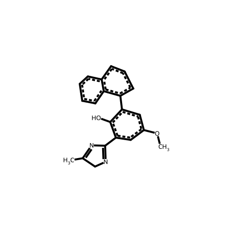 COc1cc(C2=NCC(C)=N2)c(O)c(-c2cccc3ccccc23)c1